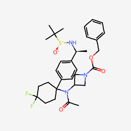 CC(=O)N(C1CN(C(=O)OCc2ccccc2)C1)C1(c2ccc([C@H](C)N[S@@+]([O-])C(C)(C)C)cc2)CCC(F)(F)CC1